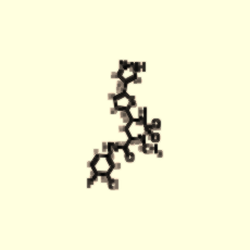 CN1C(C(=O)Nc2ccc(F)c(Cl)c2)CC(c2ccc(-c3cn[nH]c3)s2)NS1(=O)=O